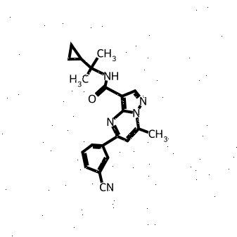 Cc1cc(-c2cccc(C#N)c2)nc2c(C(=O)NC(C)(C)C3CC3)cnn12